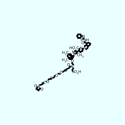 Cc1c(-c2ccc(N3CCc4cccc(C(=O)Nc5nc6ccccc6s5)c4C3)nc2C(=O)O)cnn1CC12CC3(C)CC(C)(C1)CC(OCCN(CCS(=O)(=O)O)C(=O)CCOCCOCCOCCOCCOCCOCCN1C(=O)C=CC1=O)(C3)C2